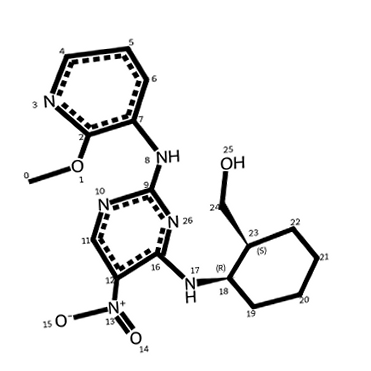 COc1ncccc1Nc1ncc([N+](=O)[O-])c(N[C@@H]2CCCC[C@@H]2CO)n1